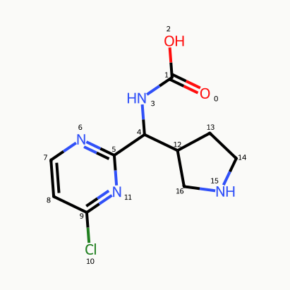 O=C(O)NC(c1nccc(Cl)n1)C1CCNC1